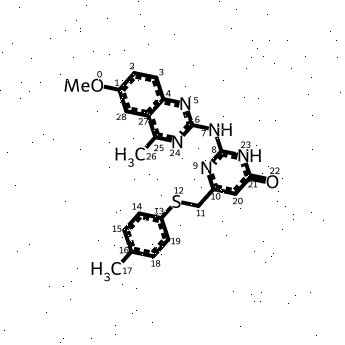 COc1ccc2nc(Nc3nc(CSc4ccc(C)cc4)cc(=O)[nH]3)nc(C)c2c1